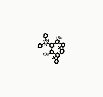 CC(C)(C)c1cc(-c2cc(-c3cc(-c4cccc5c4C(C)(C)c4ccccc4-5)cc(C(C)(C)C)c3)cc(-c3nc(-c4ccccc4)nc(-c4ccccc4)n3)c2)cc(-c2cccc3c2C(C)(C)c2ccccc2-3)c1